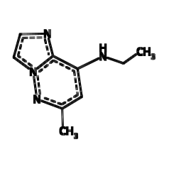 CCNc1cc(C)nn2ccnc12